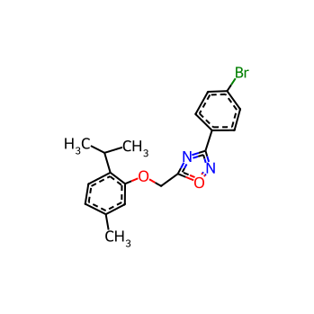 Cc1ccc(C(C)C)c(OCc2nc(-c3ccc(Br)cc3)no2)c1